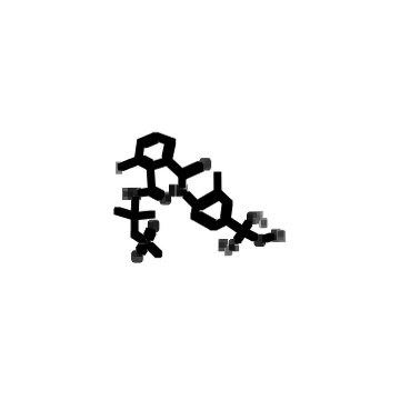 CCOC(c1ccc(NC(=O)c2cccc(I)c2C(=O)NC(C)(C)CS(C)(=O)=O)c(C)c1)(C(F)(F)F)C(F)(F)F